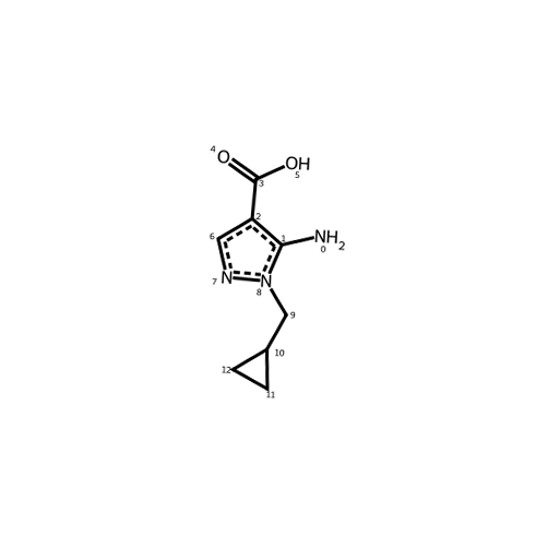 Nc1c(C(=O)O)cnn1CC1CC1